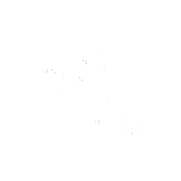 CC(O)(C#Cc1ccc2c(c1)-c1nc(C(N)=O)cn1C1CC2C1)CO